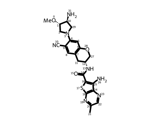 CO[C@H]1CN(c2cc3c(cc2C#N)C[C@@H](NC(=O)c2sc4nc(C)cnc4c2N)CO3)C[C@@H]1N